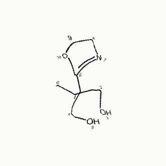 CC(CO)(CO)C1=NCCO1